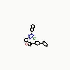 Clc1nc(-c2ccc3ccccc3c2)nc(-c2cccc3oc4ccc(-c5ccc(-c6ccccc6)cc5)cc4c23)n1